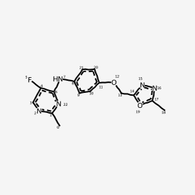 Cc1ncc(F)c(Nc2ccc(OCc3nnc(C)o3)cc2)n1